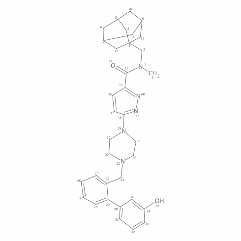 CN(CC12CC3CC(CC(C3)C1)C2)C(=O)c1ccc(N2CCN(Cc3ccccc3-c3cccc(O)c3)CC2)nn1